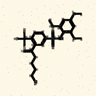 COc1cc(OC)c(NS(=O)(=O)c2ccc(C(F)(F)F)c(C(=O)CCCCCl)c2)c(OC)c1